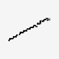 CCCCCCCCCCCCCCCCOCCOCCO